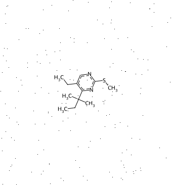 CCc1cnc(SC)nc1C(C)(C)CC